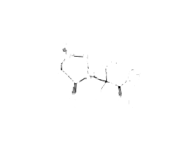 C=C(O)C(O)(O)N1N[N+](=O)CC1=O